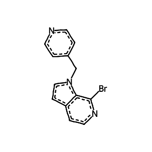 Brc1nccc2ccn(Cc3ccncc3)c12